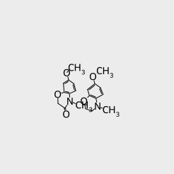 COc1ccc2c(c1)OCC(=O)N2C.COc1ccc2c(c1)OCCN2C